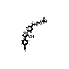 N#Cc1ccc(-c2cnn(-c3ccc(C(=O)NCCOC(F)(F)F)cn3)c2O)cc1